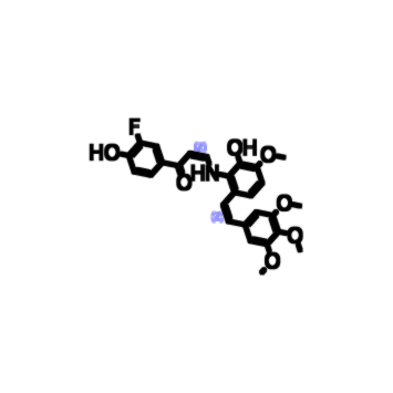 COc1ccc(/C=C\c2cc(OC)c(OC)c(OC)c2)c(N/C=C\C(=O)c2ccc(O)c(F)c2)c1O